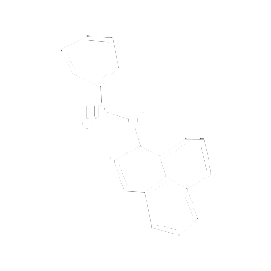 O=[PH](OC1C=Cc2cccc3cccc1c23)c1ccccc1